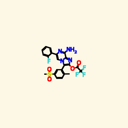 Cc1ccc(S(C)(=O)=O)cc1-c1c(OC(=O)C(F)(F)F)nc2c(N)nc(-c3ccccc3F)cn12